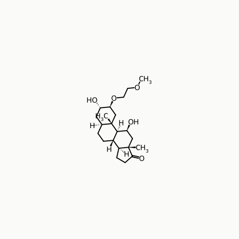 COCCO[C@H]1C[C@@]2(C)[C@@H](CC[C@@H]3[C@@H]2[C@@H](O)C[C@]2(C)C(=O)CC[C@@H]32)C[C@@H]1O